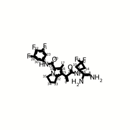 C=C(C(=O)NC1(/C(N)=C/N)CC(F)(F)C1)c1c(C)c(C(=O)Nc2cc(F)c(F)c(F)c2)n2c1CCC2